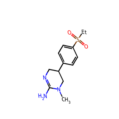 CCS(=O)(=O)c1ccc(C2CN=C(N)N(C)C2)cc1